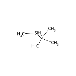 C[SiH2]C(C)(C)C